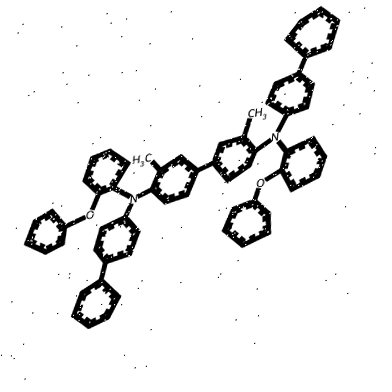 Cc1cc(-c2ccc(N(c3ccc(-c4ccccc4)cc3)c3ccccc3Oc3ccccc3)c(C)c2)ccc1N(c1ccc(-c2ccccc2)cc1)c1ccccc1Oc1ccccc1